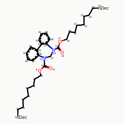 CCCCCCCCCCCCCCCCCCOC(=O)N1CN(C(=O)OCCCCCCCCCCCCCCCCCC)c2ccccc2-c2ccccc21